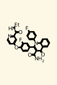 CCNC(=O)c1cc(Oc2ccc(-c3c(C(N)=O)c(=O)c4ccccc4n3-c3ccc(F)cc3)cc2F)ccn1